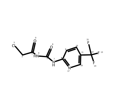 O=C(CCl)NC(=O)Nc1ccc(C(F)(F)F)cn1